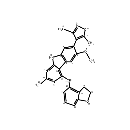 COc1cc2c(cc1-c1c(C)noc1C)[nH]c1nc(C)nc(Nc3cccc4c3CCO4)c12